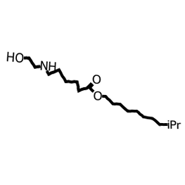 CC(C)CCCCCCCCOC(=O)CCCCCNCCO